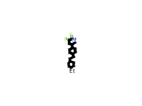 CCC1CCC(CCc2ccc(-c3cnc(F)c(F)c3)cc2)CC1